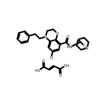 O=C(NC1CN2CCC1CC2)c1cc(Cl)cc2c1OCCN2CCc1ccccc1.O=C(O)C=CC(=O)O